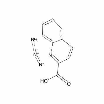 O=C(O)c1ccc2ccccc2n1.[N-]=[N+]=N